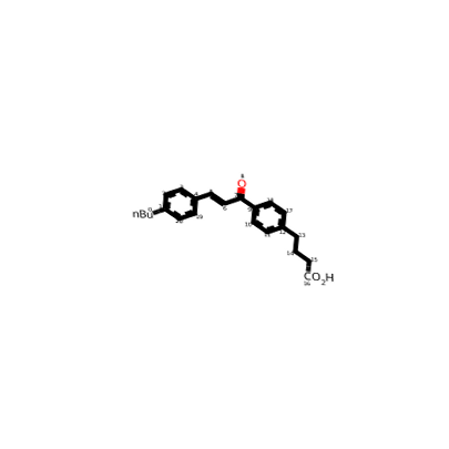 CCCCc1ccc(/C=C/C(=O)c2ccc(CCCC(=O)O)cc2)cc1